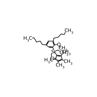 CCCCCc1cc(CCCCC)c(OC)c([Si](CC)(CC)C2=C(C)C(C)=C(C)C2C)c1